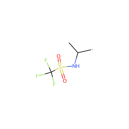 [CH2]C(C)NS(=O)(=O)C(F)(F)F